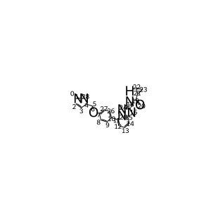 Cn1ccc(COc2ccc(-c3cccc4nc(NC(=O)C5CC5)nn34)cc2)n1